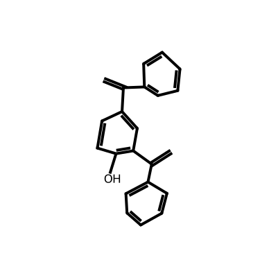 C=C(c1ccccc1)c1ccc(O)c(C(=C)c2ccccc2)c1